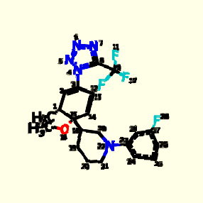 [CH2][C@@H]1C=C(n2nnnc2C(F)(F)F)C=C[C@@]1(OC)C1CCCN(c2cccc(F)c2)C1